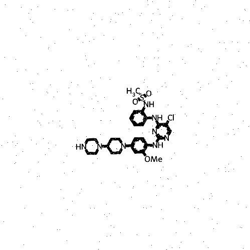 COc1cc(N2CCC(N3CCNCC3)CC2)ccc1Nc1ncc(Cl)c(Nc2ccccc2NS(C)(=O)=O)n1